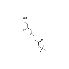 CC(C)(C)OC(=O)CCOCC(F)=CCO